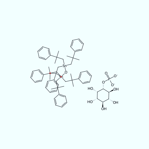 CC(C)([CH2][Sn]([CH2]C(C)(C)c1ccccc1)([CH2]C(C)(C)c1ccccc1)[O][Sn]([CH2]C(C)(C)c1ccccc1)([CH2]C(C)(C)c1ccccc1)[CH2]C(C)(C)c1ccccc1)c1ccccc1.O=P([O-])([O-])O[C@@H]1[C@@H](O)[C@H](O)[C@@H](O)[C@H](O)[C@@H]1O